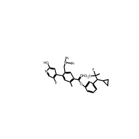 Cc1cc(-c2cc(O)ncc2F)c(CN(C(C)C)C(C)C)cc1C(=O)Oc1cccc(C(C2CC2)C(C)(F)C(=O)O)c1